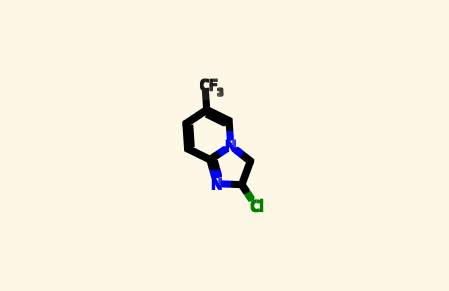 FC(F)(F)C1=CN2CC(Cl)N=C2C=C1